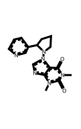 Cn1c(=O)c2c(ncn2N2CCCC2c2cccnc2)n(C)c1=O